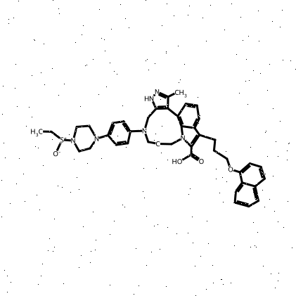 CC[S+]([O-])N1CCN(c2ccc(N3CCCn4c(C(=O)O)c(CCCOc5cccc6ccccc56)c5cccc(c54)-c4c(C)n[nH]c4C3)cc2)CC1